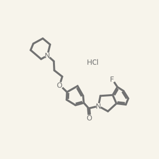 Cl.O=C(c1ccc(OCCCN2CCCCC2)cc1)N1Cc2cccc(F)c2C1